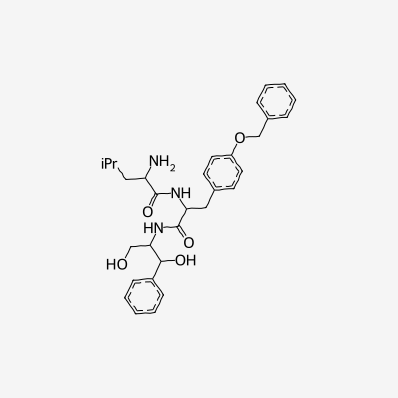 CC(C)CC(N)C(=O)NC(Cc1ccc(OCc2ccccc2)cc1)C(=O)NC(CO)C(O)c1ccccc1